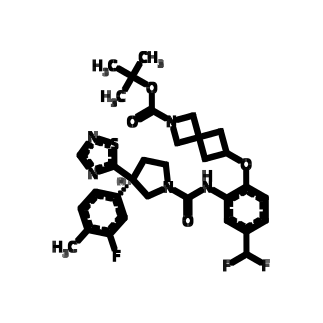 Cc1ccc([C@]2(c3ncns3)CCN(C(=O)Nc3cc(C(F)F)ccc3OC3CC4(C3)CN(C(=O)OC(C)(C)C)C4)C2)cc1F